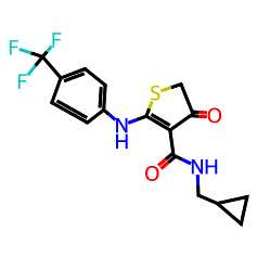 O=C1CSC(Nc2ccc(C(F)(F)F)cc2)=C1C(=O)NCC1CC1